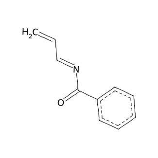 C=CC=NC(=O)c1ccccc1